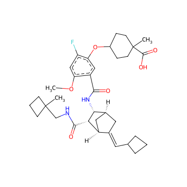 COc1cc(F)c(OC2CCC(C)(C(=O)O)CC2)cc1C(=O)N[C@@H]1[C@H]2C/C(=C\C3CCC3)[C@H](C2)[C@@H]1C(=O)NCC1(C)CCC1